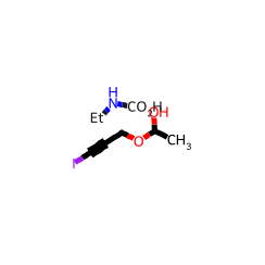 CC(O)OCC#CI.CCNC(=O)O